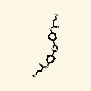 CCCC/C=C/C(=O)Oc1ccc(-c2cnc(-c3ccc(OC(=O)/C=C/CCCC)cc3)o2)cc1